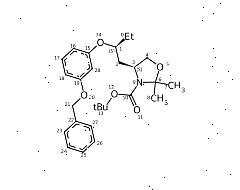 CC[C@@H](C[C@H]1COC(C)(C)N1C(=O)OC(C)(C)C)Oc1cccc(OCc2ccccc2)c1